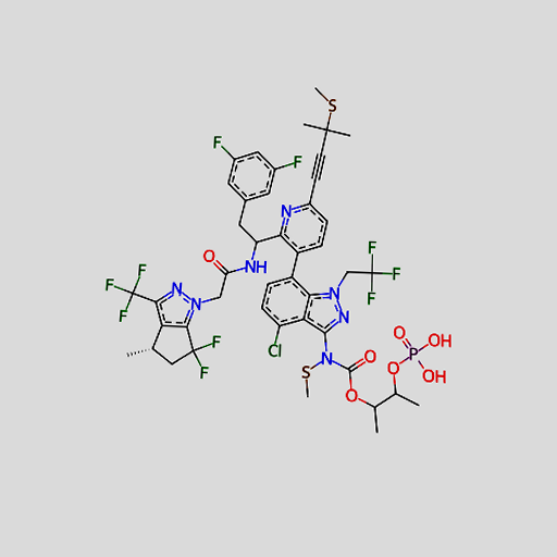 CSN(C(=O)OC(C)C(C)OP(=O)(O)O)c1nn(CC(F)(F)F)c2c(-c3ccc(C#CC(C)(C)SC)nc3C(Cc3cc(F)cc(F)c3)NC(=O)Cn3nc(C(F)(F)F)c4c3C(F)(F)C[C@@H]4C)ccc(Cl)c12